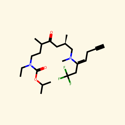 C#CC/C=C(/CC(F)(F)F)N(C)C[C@H](C)CC(=O)C(C)CCN(CC)C(=O)OC(C)C